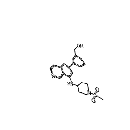 CS(=O)(=O)N1CCC(Nc2cc(-c3cccc(CO)c3)cc3ccncc23)CC1